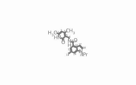 Cc1cc(C)c(CNC(=O)c2cc(I)cc3c2ccn3C(C)C)c(=O)[nH]1